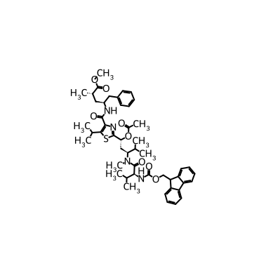 COC(=O)[C@@H](C)C[C@@H](Cc1ccccc1)NC(=O)c1nc([C@@H](C[C@@H](C(C)C)N(C)C(=O)[C@@H](NC(=O)OCC2c3ccccc3-c3ccccc32)C(C)C)OC(C)=O)sc1C(C)C